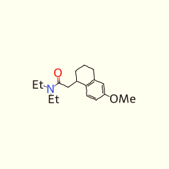 CCN(CC)C(=O)CC1CCCc2cc(OC)ccc21